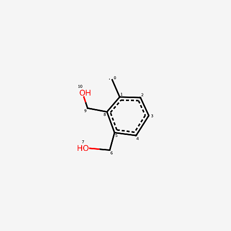 [CH2]c1cccc(CO)c1CO